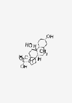 C[C@]12C[C@H](O)[C@H]3[C@@H](CC=C4C[C@@H](O)CC[C@@]43C)[C@@H]1CC[C@@H]2C(=O)O